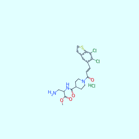 COC(=O)C(CN)NC(=O)C1CCN(C(=O)C=Cc2cc3ccsc3c(Cl)c2Cl)CC1.Cl